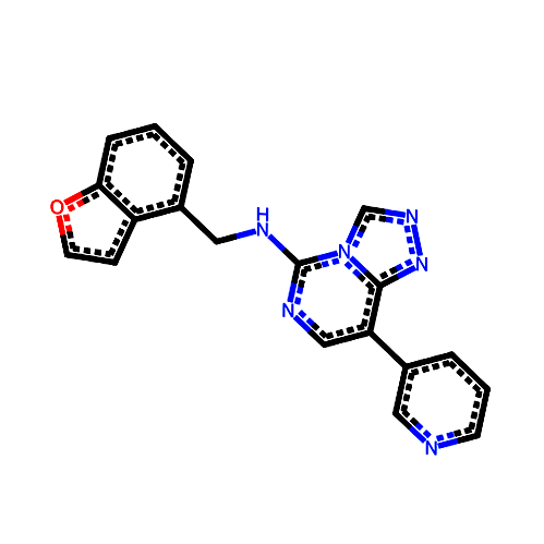 c1cncc(-c2cnc(NCc3cccc4occc34)n3cnnc23)c1